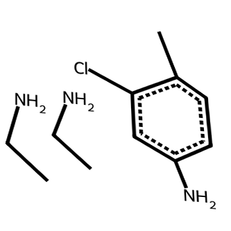 CCN.CCN.Cc1ccc(N)cc1Cl